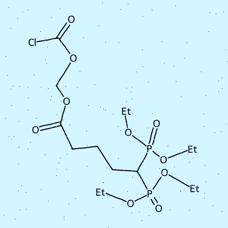 CCOP(=O)(OCC)C(CCCC(=O)OCOC(=O)Cl)P(=O)(OCC)OCC